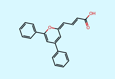 O=C(O)C=CC=C1C=C(c2ccccc2)C=C(c2ccccc2)O1